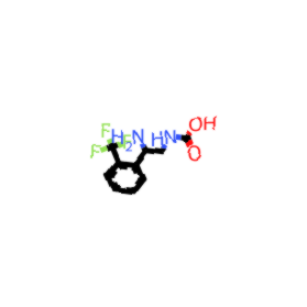 NC(CNC(=O)O)c1ccccc1C(F)(F)F